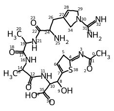 CC(=O)N=C1CC=C(C(O)C(NC(=O)C(C)NC(=O)C(C)NC(=O)C(N)CC2=CCN(C(=N)N)C2)C(=O)O)S1